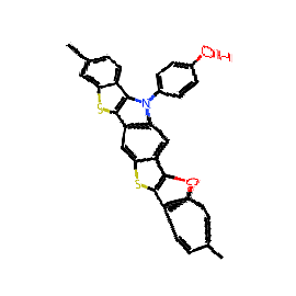 Cc1ccc2c(c1)oc1c3cc4c(cc3sc21)c1sc2cc(C)ccc2c1n4-c1ccc(O)cc1